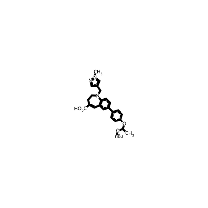 CCCCOC(C)Oc1ccc(-c2ccc3c(c2)C=C(C(=O)O)CCN3Cc2cnn(C)c2)cc1